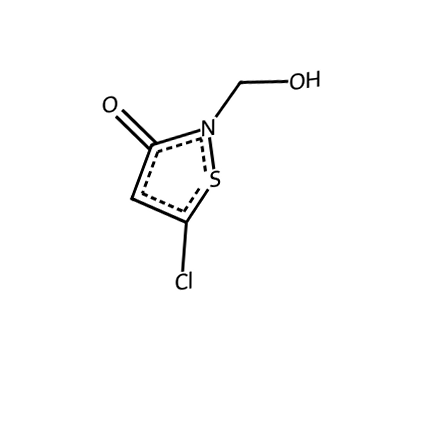 O=c1cc(Cl)sn1CO